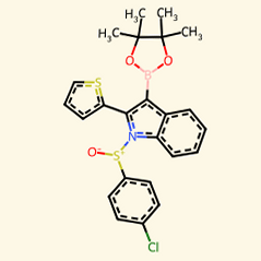 CC1(C)OB(c2c(-c3cccs3)n([S+]([O-])c3ccc(Cl)cc3)c3ccccc23)OC1(C)C